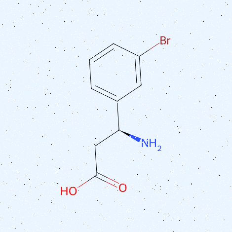 N[C@@H](CC(=O)O)c1cccc(Br)c1